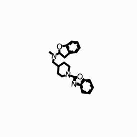 CN(CC1CCN(c2nc3ccccc3o2)CC1)C1Cc2ccccc2O1